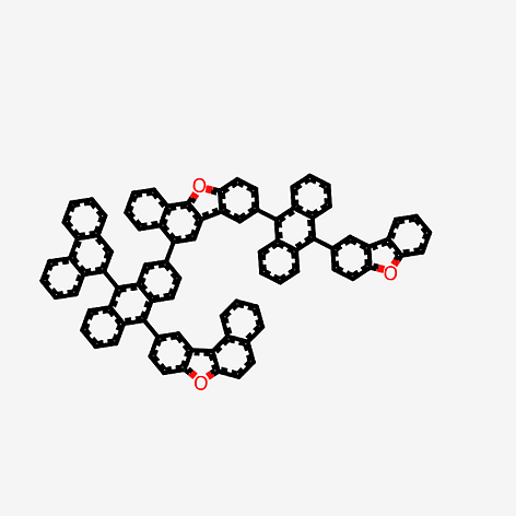 c1ccc2c(c1)cc(-c1c3ccccc3c(-c3ccc4oc5ccc6ccccc6c5c4c3)c3ccc(-c4cc5c6cc(-c7c8ccccc8c(-c8ccc9oc%10ccccc%10c9c8)c8ccccc78)ccc6oc5c5ccccc45)cc13)c1ccccc12